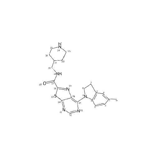 Cc1ccc2c(c1)CCN2c1ncnc2sc(C(=O)NCC3CCNCC3)nc12